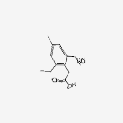 CCc1cc(C)cc(CC)c1CC(=O)O.Cl